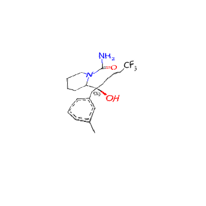 Cc1cccc([C@@](O)(CCC(F)(F)F)C2CCCCN2C(N)=O)c1